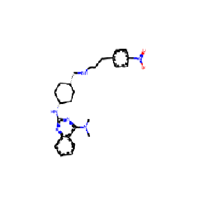 CN(C)c1nc(N[C@H]2CC[C@@H](CNCCCc3ccc([N+](=O)[O-])cc3)CC2)nc2ccccc12